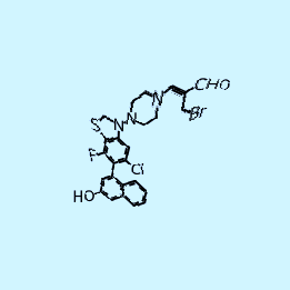 O=CC(=CN1CCN(N2CSc3c2cc(Cl)c(-c2cc(O)cc4ccccc24)c3F)CC1)CBr